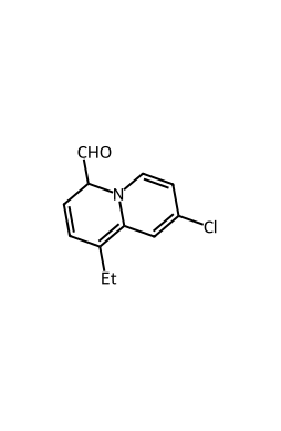 CCC1=C2C=C(Cl)C=CN2C(C=O)C=C1